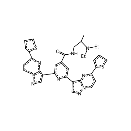 CCN(CC)C(C)CNC(=O)c1cc(-c2cnn3ccc(-c4cccs4)nc23)nc(-c2cnn3ccc(-c4cccs4)nc23)c1